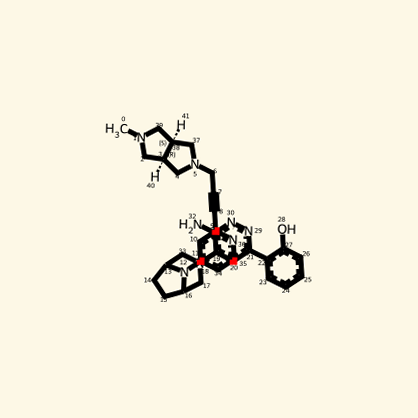 CN1C[C@@H]2CN(CC#Cc3cc(N4C5CCC4CN(c4cc(-c6ccccc6O)nnc4N)C5)ccn3)C[C@@H]2C1